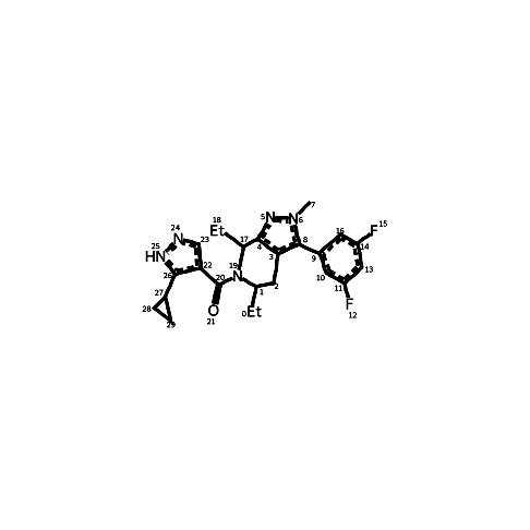 CCC1Cc2c(nn(C)c2-c2cc(F)cc(F)c2)C(CC)N1C(=O)c1cn[nH]c1C1CC1